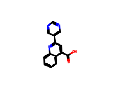 O=C(O)c1cc(-c2cncnc2)nc2ccccc12